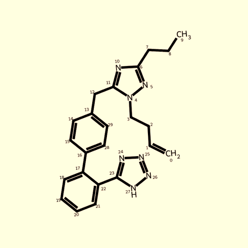 C=CCCn1nc(CCC)nc1Cc1ccc(-c2ccccc2-c2nnn[nH]2)cc1